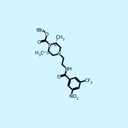 C[C@@H]1CN(CCNC(=O)c2cc([N+](=O)[O-])cc(C(F)(F)F)c2)C[C@H](C)N1C(=O)OC(C)(C)C